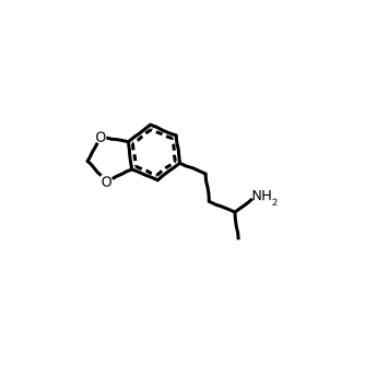 CC(N)CCc1ccc2c(c1)OCO2